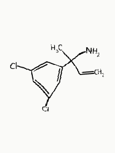 C=CC(C)(N)c1cc(Cl)cc(Cl)c1